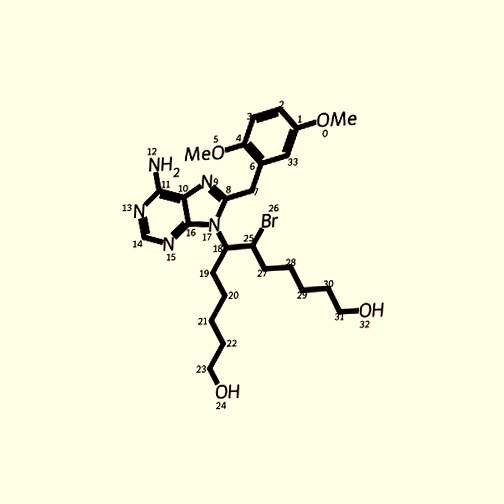 COc1ccc(OC)c(Cc2nc3c(N)ncnc3n2C(CCCCCO)C(Br)CCCCCO)c1